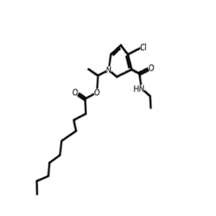 CCCCCCCCCC(=O)OC(C)N1C=CC(Cl)=C(C(=O)NCC)C1